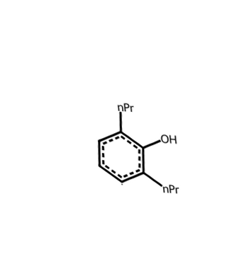 CCCc1[c]ccc(CCC)c1O